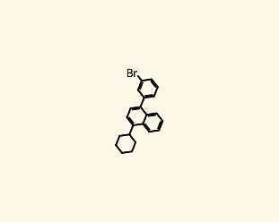 Brc1cccc(-c2ccc(C3CCCCC3)c3ccccc23)c1